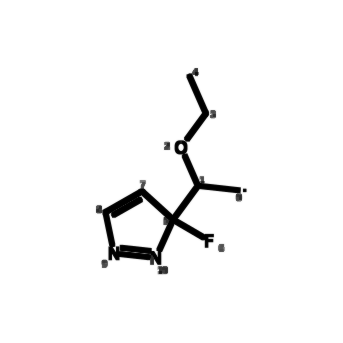 [CH2]C(OCC)C1(F)C=CN=N1